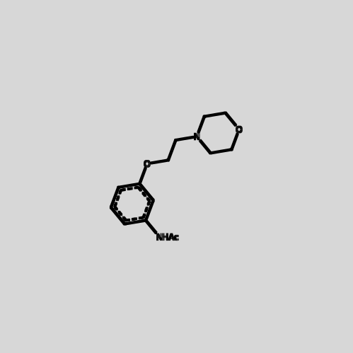 CC(=O)Nc1cccc(OCCN2CCOCC2)c1